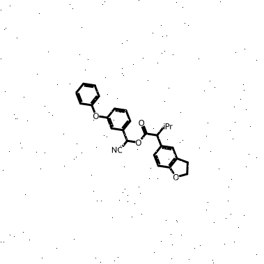 CC(C)C(C(=O)OC(C#N)c1cccc(Oc2ccccc2)c1)c1ccc2c(c1)CCO2